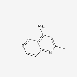 Cc1cc(N)c2cnccc2n1